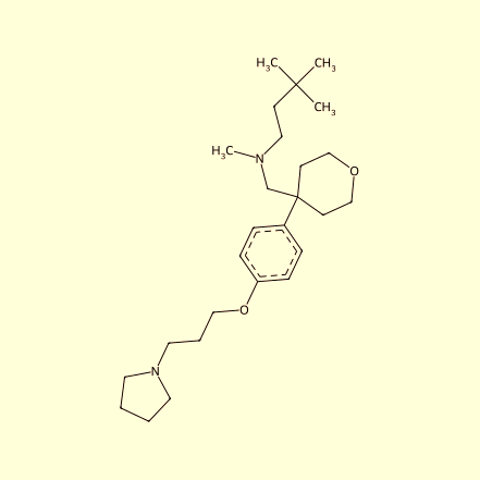 CN(CCC(C)(C)C)CC1(c2ccc(OCCCN3CCCC3)cc2)CCOCC1